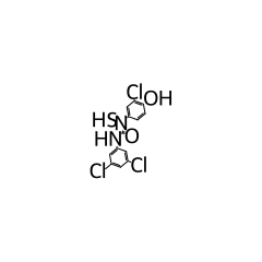 O=C(Nc1cc(Cl)cc(Cl)c1)N(S)c1ccc(O)c(Cl)c1